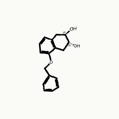 O[C@@H]1Cc2cccc(OCc3ccccc3)c2C[C@H]1O